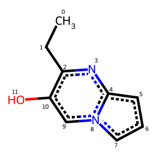 CCc1nc2cccn2cc1O